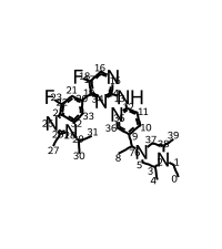 CCN1C(C)CN(C(C)c2ccc(Nc3ncc(F)c(-c4cc(F)c5nc(C)n(C(C)C)c5c4)n3)nc2)CC1C